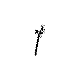 CCCCCCCCCCCCCCCC(=O)CC(CC(=O)P(O)C(=O)CC[N+](C)(C)C)NC(=O)CC